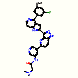 COc1cc(F)cc(-c2nccc3[nH]c(-c4n[nH]c5ccc(-c6cncc(NC(=O)CN(C)C)c6)nc45)cc23)c1